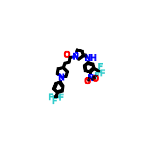 O=C(CCC1CCN(c2ccc(C(F)(F)F)cc2)CC1)N1CC[C@@H](Nc2ccc([N+](=O)[O-])c(C(F)(F)F)c2)C1